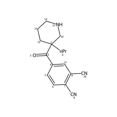 CCCC1(C(=O)c2ccc(C#N)c(C#N)c2)CCCNC1